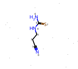 N#CCCNC(N)=S